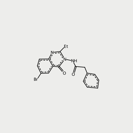 CCc1nc2ccc(Br)cc2c(=O)n1NC(=O)Cc1ccccc1